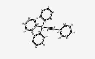 C(#C[B-](c1ccccc1)(c1ccccc1)c1ccccc1)c1ccccc1